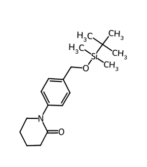 CC(C)(C)[Si](C)(C)OCc1ccc(N2CCCCC2=O)cc1